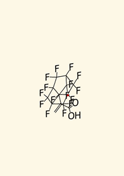 C=C(C(=O)O)C1(F)C2(F)C(F)(F)C3(F)C(F)(F)C(F)(C2(F)F)C(F)(F)C1(F)C3(F)F